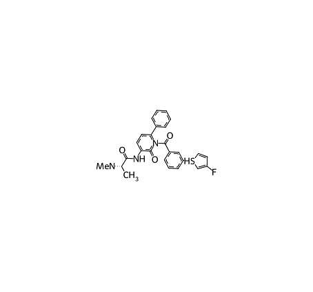 CN[C@@H](C)C(=O)Nc1ccc(-c2ccccc2)n(C(=O)c2cccc([SH]3C=CC(F)=C3)c2)c1=O